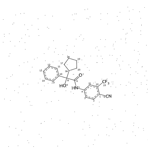 N#Cc1ccc(NC(=O)C(O)(c2ccccc2)C2CCCC2)cc1C(F)(F)F